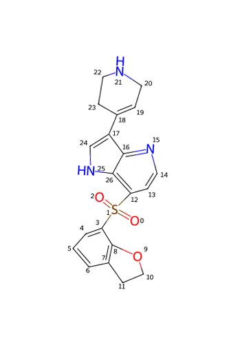 O=S(=O)(c1cccc2c1OCC2)c1ccnc2c(C3=CCNCC3)c[nH]c12